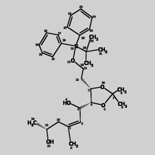 C/C(=C/C(O)[C@H]1OC(C)(C)O[C@H]1CCO[Si](c1ccccc1)(c1ccccc1)C(C)(C)C)C[C@@H](C)O